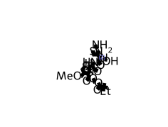 CCC(C)(C)C(=O)OCOC(=O)C1=C(COC)CS[C@@H]2C(NC(=O)/C(=N\O)c3csc(N)n3)C(=O)N12